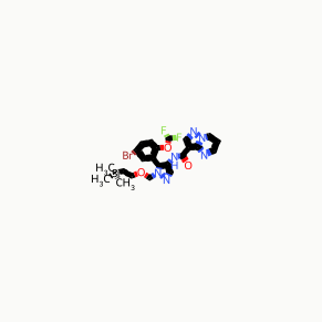 C[Si](C)(C)CCOCn1ncc(NC(=O)c2cnn3cccnc23)c1-c1cc(Br)ccc1OC(F)F